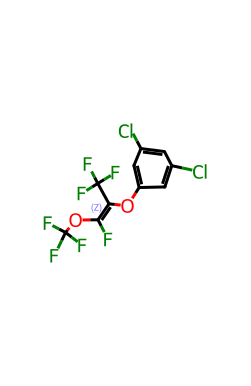 F/C(OC(F)(F)F)=C(\Oc1cc(Cl)cc(Cl)c1)C(F)(F)F